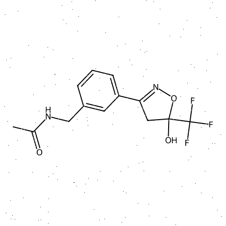 CC(=O)NCc1cccc(C2=NOC(O)(C(F)(F)F)C2)c1